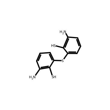 Nc1cccc(Sc2cccc(N)c2S)c1S